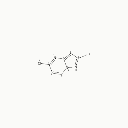 Fc1cc2nc(Cl)ccn2n1